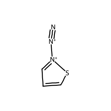 N#[N+][n+]1cccs1